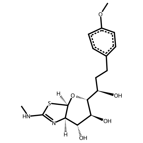 CNC1=N[C@@H]2[C@@H](O)[C@H](O)[C@@H]([C@H](O)CCc3ccc(OC)cc3)O[C@@H]2S1